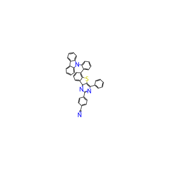 N#Cc1ccc(-c2nc(-c3ccccc3)c3sc4c(-c5ccccc5-n5c6ccccc6c6ccccc65)cccc4c3n2)cc1